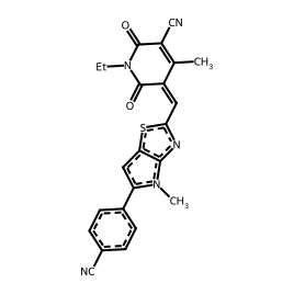 CCN1C(=O)C(C#N)=C(C)/C(=C/c2nc3c(cc(-c4ccc(C#N)cc4)n3C)s2)C1=O